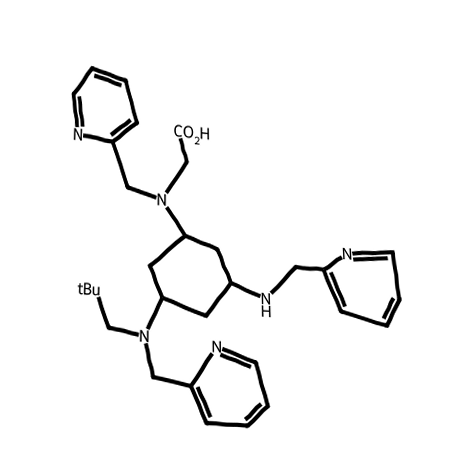 CC(C)(C)CN(Cc1ccccn1)C1CC(NCc2ccccn2)CC(N(CC(=O)O)Cc2ccccn2)C1